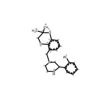 CC(C)c1ccccc1C1CN(Cc2cccc3c2OCC(C)(C)O3)CCN1